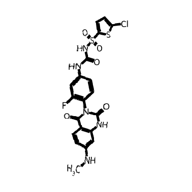 CNc1ccc2c(=O)n(-c3ccc(NC(=O)NS(=O)(=O)c4ccc(Cl)s4)cc3F)c(=O)[nH]c2c1